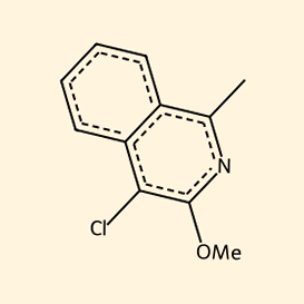 COc1nc(C)c2ccccc2c1Cl